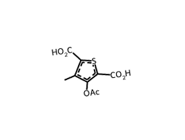 CC(=O)Oc1c(C(=O)O)sc(C(=O)O)c1C